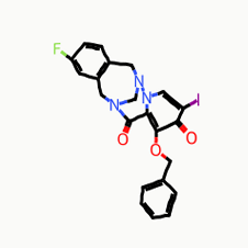 O=C1c2c(OCc3ccccc3)c(=O)c(I)cn2N2Cc3ccc(F)cc3CN1C2